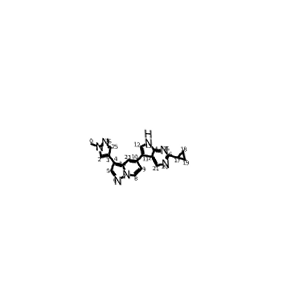 Cn1cc(-c2cnn3ccc(-c4c[nH]c5nc(C6CC6)ncc45)cc23)cn1